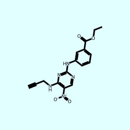 C#CCNc1nc(Nc2cccc(C(=O)OCC)c2)ncc1[N+](=O)[O-]